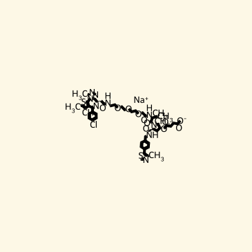 Cc1ncsc1-c1ccc(CNC(=O)[C@@H]2C[C@@H](OC(=O)CCC(=O)[O-])CN2C(=O)[C@@H](NC(=O)COCCOCCOCCNC(=O)C[C@@H]2N=C(c3ccc(Cl)cc3)c3c(sc(C)c3C)-n3c(C)nnc32)C(C)(C)C)cc1.[Na+]